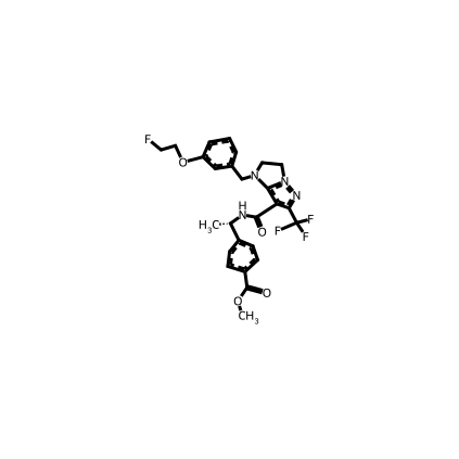 COC(=O)c1ccc([C@H](C)NC(=O)c2c(C(F)(F)F)nn3c2N(Cc2cccc(OCCF)c2)CC3)cc1